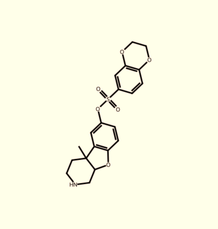 CC12CCNCC1Oc1ccc(OS(=O)(=O)c3ccc4c(c3)OCCO4)cc12